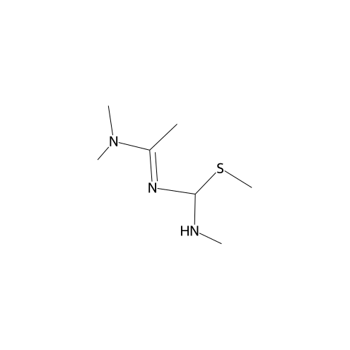 CNC(/N=C(\C)N(C)C)SC